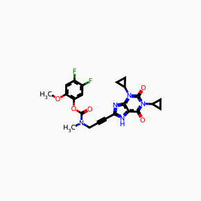 COc1cc(F)c(F)cc1OC(=O)N(C)CC#Cc1nc2c([nH]1)c(=O)n(C1CC1)c(=O)n2C1CC1